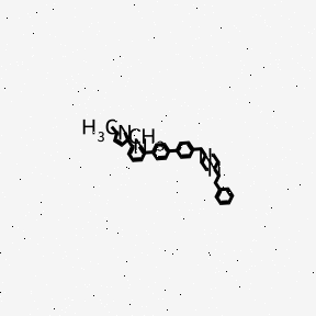 CC1=NC(C)(c2cccc(-c3ccc(-c4ccc(CN5CCN(CCc6ccccc6)CC5)cc4)cc3)n2)C=C1